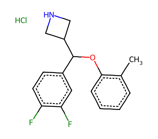 Cc1ccccc1OC(c1ccc(F)c(F)c1)C1CNC1.Cl